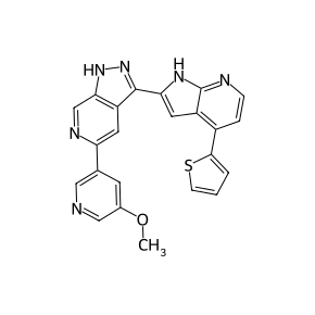 COc1cncc(-c2cc3c(-c4cc5c(-c6cccs6)ccnc5[nH]4)n[nH]c3cn2)c1